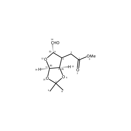 COC(=O)CC1[C@H]2OC(C)(C)O[C@H]2O[C@@H]1C=O